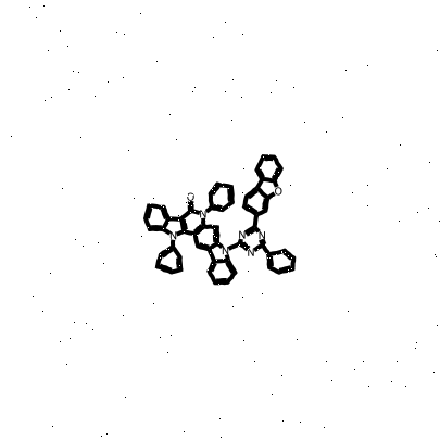 O=c1c2c3ccccc3n(-c3ccccc3)c2c2cc3c4ccccc4n(-c4nc(-c5ccccc5)nc(-c5ccc6c(c5)oc5ccccc56)n4)c3cc2n1-c1ccccc1